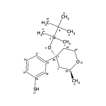 C[C@H]1C[C@@](O[Si](C)(C)C(C)(C)C)(c2cccc(S)c2)CCO1